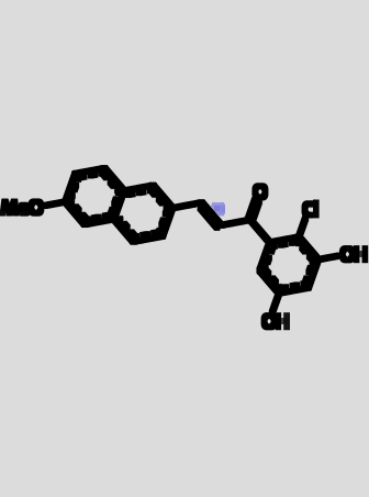 COc1ccc2cc(/C=C/C(=O)c3cc(O)cc(O)c3Cl)ccc2c1